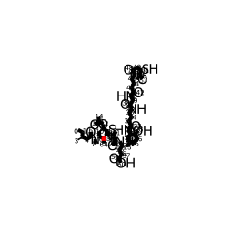 CC[C@H](C)CC(=O)N(C)C(C[C@@H](OC(C)=O)c1nc(C(=O)N[C@@H](Cc2ccc(O)c(NC(=O)CCCNC(=O)CNC(=O)CCCN3C(=O)CC(S)C3=O)c2)C[C@H](C)C(=O)O)cs1)C(C)C